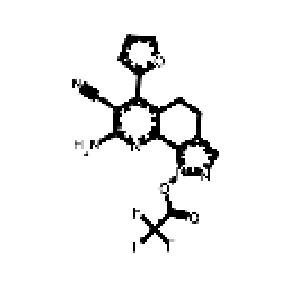 N#Cc1c(N)nc2c(c1-c1ccco1)CCc1cnn(OC(=O)C(F)(F)F)c1-2